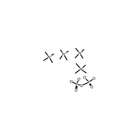 C[N+](C)(C)C.C[N+](C)(C)C.C[N+](C)(C)C.C[N+](C)(C)C.O=P([O-])([O-])OP(=O)([O-])[O-]